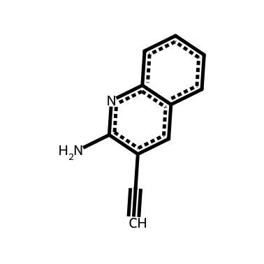 C#Cc1cc2ccccc2nc1N